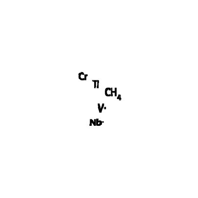 C.[Cr].[Nb].[Ti].[V]